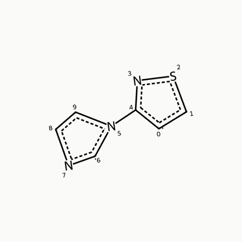 [c]1csnc1-n1[c]ncc1